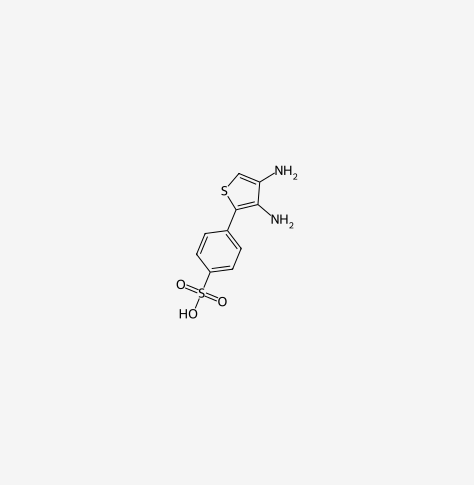 Nc1csc(-c2ccc(S(=O)(=O)O)cc2)c1N